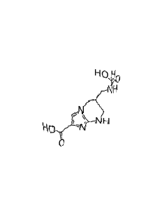 O=C(O)c1cn2c(n1)NCC(CN[PH](=O)O)C2